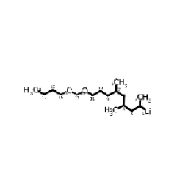 [Li][CH](C)CC(C)CC(C)CCCOCOCCCC